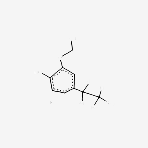 Cl.[2H]C([2H])(N)C([2H])([2H])c1ccc(O)c(OCC)c1